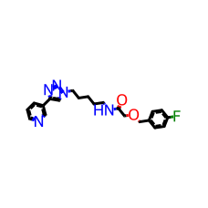 O=C(COCc1ccc(F)cc1)NCCCCCn1cc(-c2cccnc2)nn1